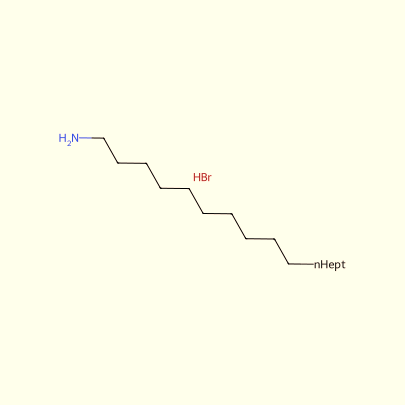 Br.CCCCCCCCCCCCCCCCCN